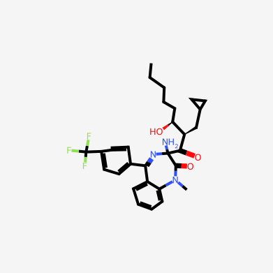 CCCCC[C@H](O)[C@@H](CC1CC1)C(=O)C1(N)N=C(c2ccc(C(F)(F)F)cc2)c2ccccc2N(C)C1=O